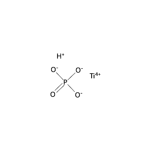 O=P([O-])([O-])[O-].[H+].[Ti+4]